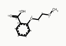 COCCOc1ccccc1C(=O)O